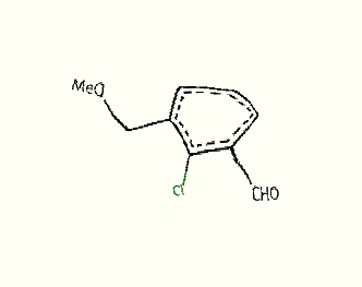 COCc1cccc(C=O)c1Cl